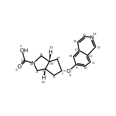 O=C(O)N1C[C@H]2C[C@@H](Oc3ccc4cnccc4c3)C[C@H]2C1